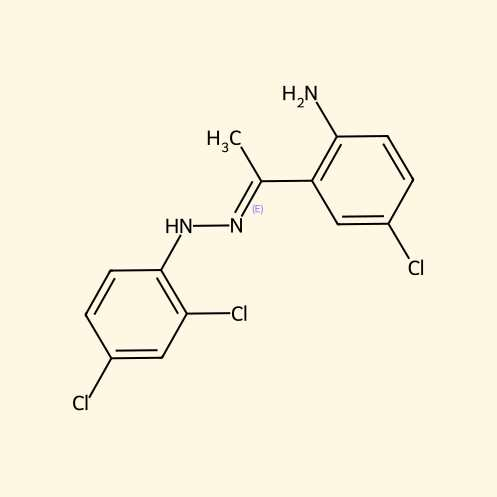 C/C(=N\Nc1ccc(Cl)cc1Cl)c1cc(Cl)ccc1N